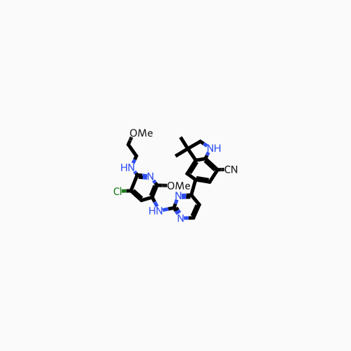 COCCNc1nc(OC)c(Nc2nccc(-c3cc(C#N)c4c(c3)C(C)(C)CN4)n2)cc1Cl